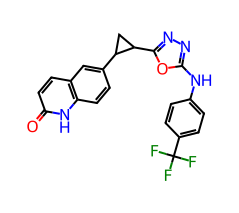 O=c1ccc2cc(C3CC3c3nnc(Nc4ccc(C(F)(F)F)cc4)o3)ccc2[nH]1